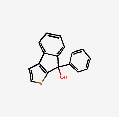 OC1(c2ccccc2)c2ccccc2-c2ccsc21